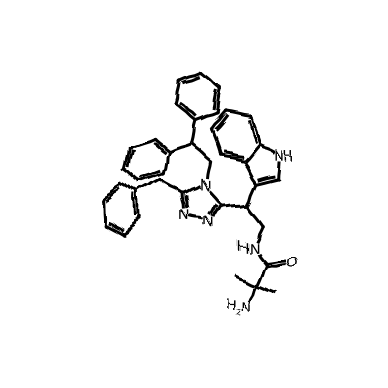 CC(C)(N)C(=O)NCC(c1c[nH]c2ccccc12)c1nnc(Cc2ccccc2)n1CC(c1ccccc1)c1ccccc1